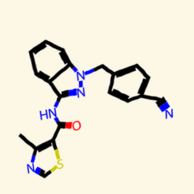 Cc1ncsc1C(=O)Nc1nn(Cc2ccc(C#N)cc2)c2ccccc12